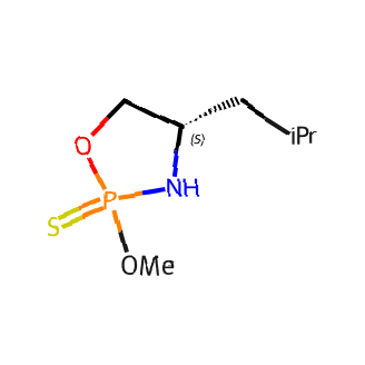 COP1(=S)N[C@@H](CC(C)C)CO1